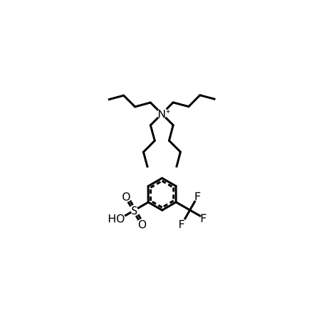 CCCC[N+](CCCC)(CCCC)CCCC.O=S(=O)(O)c1cccc(C(F)(F)F)c1